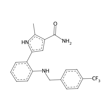 Cc1[nH]c(-c2ccccc2NCc2ccc(C(F)(F)F)cc2)cc1C(N)=O